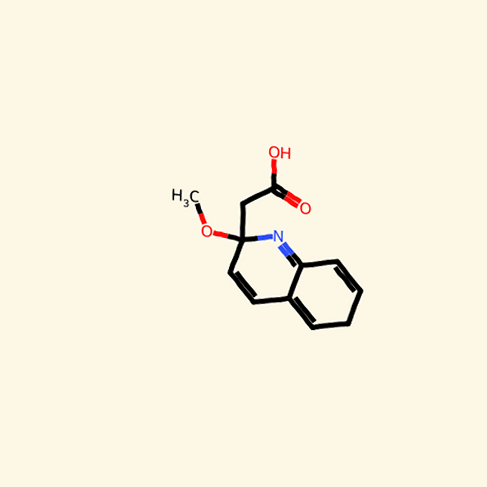 COC1(CC(=O)O)C=CC2=CCC=CC2=N1